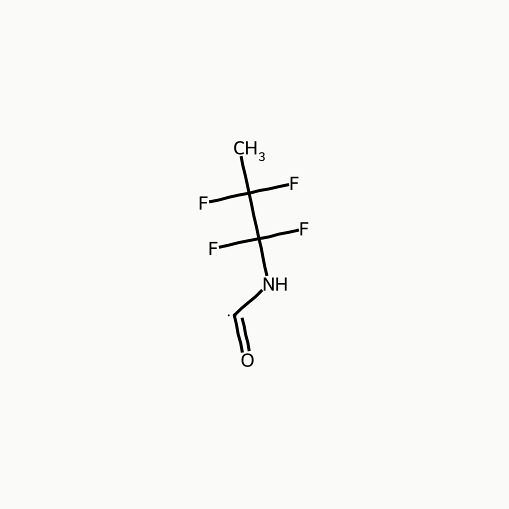 CC(F)(F)C(F)(F)N[C]=O